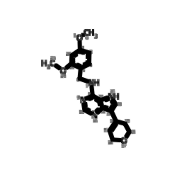 COc1ccc(CNc2ncnc3c(C4=CCOCC4)c[nH]c23)c(OC)c1